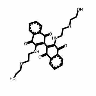 O=C1C(NCCOCCO)=C(C2=C(NCCOCCO)C(=O)c3ccccc3C2=O)C(=O)c2ccccc21